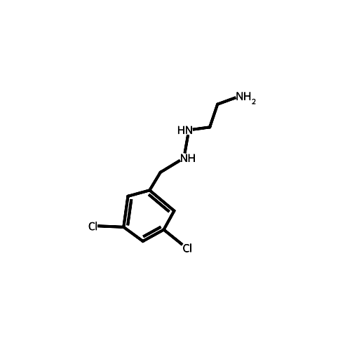 NCCNNCc1cc(Cl)cc(Cl)c1